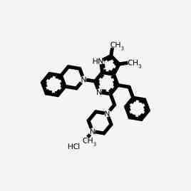 Cc1[nH]c2c(N3CCc4ccccc4C3)nc(CN3CCN(C)CC3)c(Cc3ccccc3)c2c1C.Cl